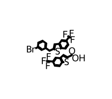 FC(F)(F)c1ccc2sc(Cc3cccc(Br)c3)cc2c1.O=C(O)c1cc2cc(C(F)(F)F)ccc2s1